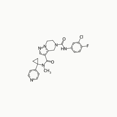 CN(C(=O)c1cnn2c1CN(C(=O)Nc1ccc(F)c(Cl)c1)CC2)C1(c2ccncc2)CC1